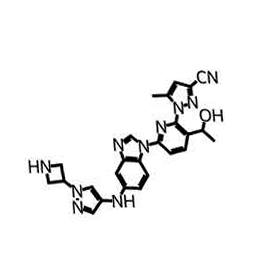 Cc1cc(C#N)nn1-c1nc(-n2cnc3cc(Nc4cnn(C5CNC5)c4)ccc32)ccc1C(C)O